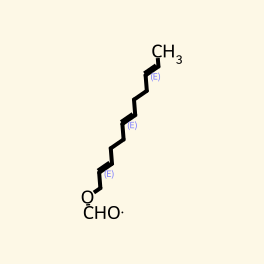 C/C=C/CC/C=C/CC/C=C/CO[C]=O